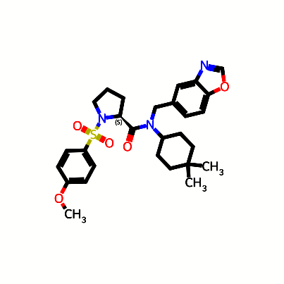 COc1ccc(S(=O)(=O)N2CCC[C@H]2C(=O)N(Cc2ccc3ocnc3c2)C2CCC(C)(C)CC2)cc1